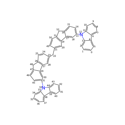 c1ccc2c(c1)c1ccccc1n2-c1ccc2c(c1)-c1cc(Cc3ccc4c(c3)-c3cc(-n5c6ccccc6c6ccccc65)ccc3C4)ccc1C2